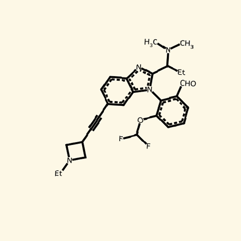 CCC(c1nc2ccc(C#CC3CN(CC)C3)cc2n1-c1c(C=O)cccc1OC(F)F)N(C)C